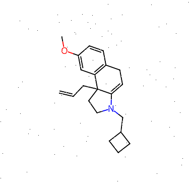 C=CCC12CCN(CC3CCC3)C1=CCc1ccc(OC)cc12